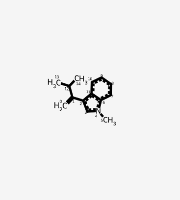 C=C(c1cn(C)c2ccccc12)C(C)C